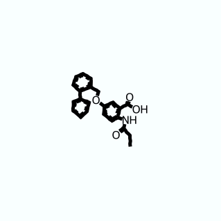 CCC(=O)Nc1ccc(OCc2ccccc2-c2ccccc2)cc1C(=O)O